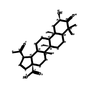 CC(=O)[C@@H]1CC[C@]2(C(=O)O)CC[C@]3(C)C(CCC4[C@@]5(C)C[C@H](O)C(=O)C(C)(C)C5CC[C@]43C)C12